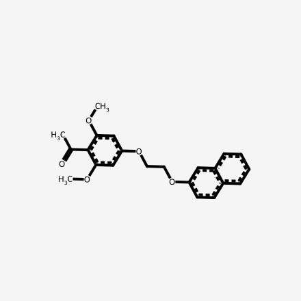 COc1cc(OCCOc2ccc3ccccc3c2)cc(OC)c1C(C)=O